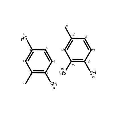 Cc1cc(S)ccc1S.Cc1ccc(S)c(S)c1